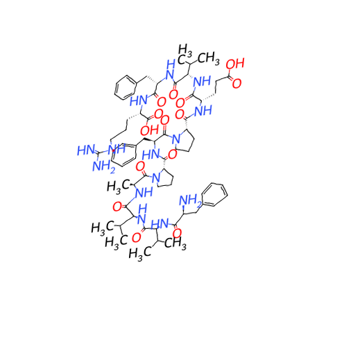 CC(C)[C@H](NC(=O)[C@H](CCC(=O)O)NC(=O)[C@@H]1CCCN1C(=O)[C@H](Cc1ccccc1)NC(=O)[C@@H]1CCCN1C(=O)[C@H](C)NC(=O)[C@@H](NC(=O)[C@@H](NC(=O)[C@@H](N)Cc1ccccc1)C(C)C)C(C)C)C(=O)N[C@@H](Cc1ccccc1)C(=O)N[C@@H](CCCNC(=N)N)C(=O)O